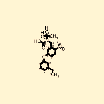 CCc1cccc(Oc2ccc([N+](=O)[O-])c(CN(C(=O)O)C(C)(C)C)c2)c1